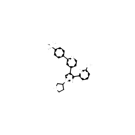 Cc1cccc(-c2nn(C3CCOC3)cc2-c2ccnc(-c3ccc(S(C)(=O)=O)cc3)c2)n1